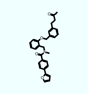 CC(=O)CCc1cccc(COc2ccccc2CN(C)C(=O)c2ccc(-c3ccco3)cc2)c1